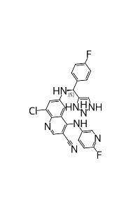 N#Cc1cnc2c(Cl)cc(N[C@H](C3=CNNN3)c3ccc(F)cc3)cc2c1Nc1ccc(F)nc1